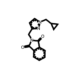 O=C1c2ccccc2C(=O)N1Cc1ccn(CC2CC2)n1